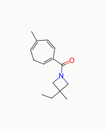 CCC1(C)CN(C(=O)C2=CCC=C(C)C=C2)C1